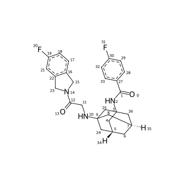 O=C(NC12C[C@@H]3C[C@@H](CC(NCC(=O)N4Cc5ccc(F)cc5C4)(C3)C1)C2)c1ccc(F)cc1